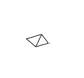 [CH]1C2CC12